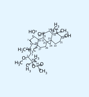 COC(C[C@@H](C)[C@H]1C[C@H](O)[C@@]2(C)C3CC[C@H]4C(C)(C)C(O)CCC45CC35CCC12C)C(C)(C)OC(C)=O